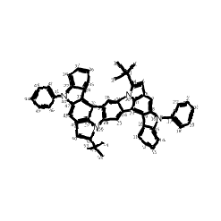 CC(C)(C)c1cc2cc3c(c4ccccc4n3-c3ccccc3)c3c4cc5c(cc4n1c23)c1c2c3ccccc3n(-c3ccccc3)c2cc2cc(C(C)(C)C)n5c21